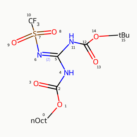 CCCCCCCCOC(=O)N/C(=N/S(=O)(=O)C(F)(F)F)NC(=O)OC(C)(C)C